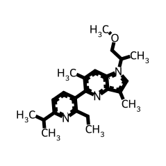 CCc1nc(C(C)C)ccc1-c1nc2c(C)cn(C(C)COC)c2cc1C